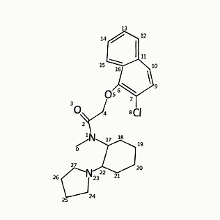 CN(C(=O)COc1c(Cl)ccc2ccccc12)C1CCCCC1N1CCCC1